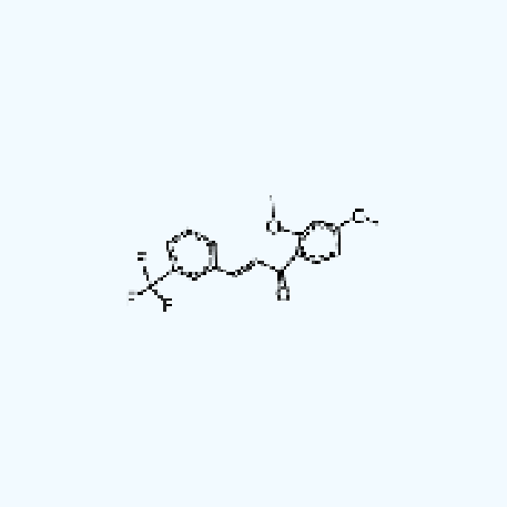 COc1ccc(C(=O)/C=C/c2cccc(C(F)(F)F)c2)c(OC)c1